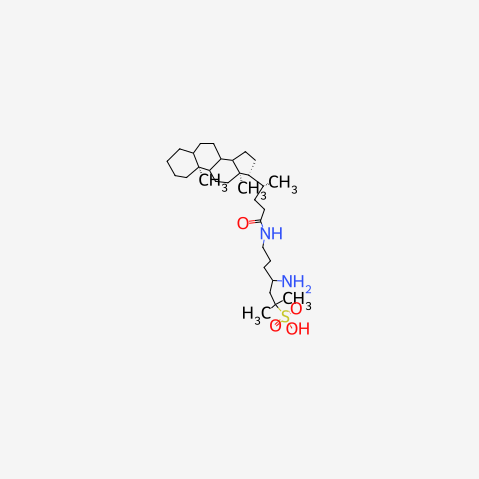 C[C@H](CCC(=O)NCCCC(N)CC(C)(C)S(=O)(=O)O)[C@H]1CCC2C3CCC4CCCC[C@]4(C)C3CC[C@@]21C